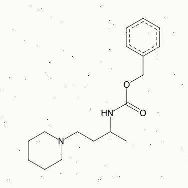 CC(CCN1CCCCC1)NC(=O)OCc1ccccc1